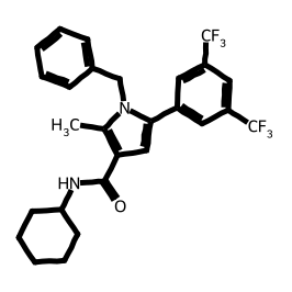 Cc1c(C(=O)NC2CCCCC2)cc(-c2cc(C(F)(F)F)cc(C(F)(F)F)c2)n1Cc1ccccc1